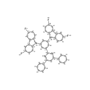 Fc1ccc2c(c1)c1cc(F)ccc1n2-c1cc(-c2nc(-c3ccccc3)cc(-c3ccccc3)n2)cc(-n2c3ccc(F)cc3c3cc(F)ccc32)c1